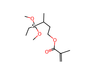 C=C(C)C(=O)OCCC(C)[Si](CC)(OC)OC